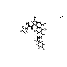 CC(c1ccc(F)cc1)N1CCN(C(=O)c2cc3c(C(=O)C(=O)N4CCCC4)c[nH]c3cc2Cl)C(C)C1